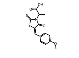 COc1ccc(C=C2SC(=S)N(C(C)C(=O)O)C2=O)cc1